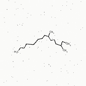 CCCCCCCCC(C)CCCC(C)CC